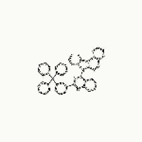 c1ccc2c(c1)-c1ccccc1C21c2ccccc2-c2c(-c3nc(-n4c5ccccc5c5c6ccccc6ccc54)c4ccccc4n3)cccc21